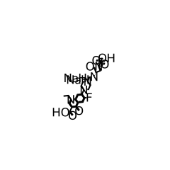 CCn1cc(C(=O)O)c(=O)c2cc(F)c(N3CCN(/C=N/[C@H]4CN(S(=O)(=O)O)C4=O)CC3)cc21.[NaH].[NaH]